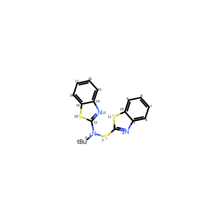 CC(C)(C)N(Sc1nc2ccccc2s1)c1nc2ccccc2s1